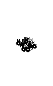 Bc1c(B)c(B)c(-c2nc(-c3ccccc3)nc(-c3cccc4c3oc3c(-c5cccc6c5sc5ccccc56)cccc34)n2)c(B)c1B